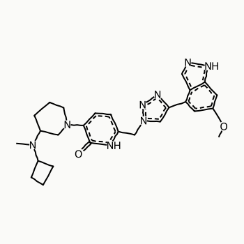 COc1cc(-c2cn(Cc3ccc(N4CCCC(N(C)C5CCC5)C4)c(=O)[nH]3)nn2)c2cn[nH]c2c1